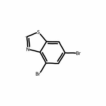 Brc1cc(Br)c2n[c]sc2c1